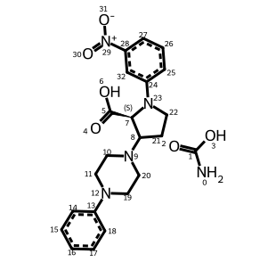 NC(=O)O.O=C(O)[C@@H]1C(N2CCN(c3ccccc3)CC2)CCN1c1cccc([N+](=O)[O-])c1